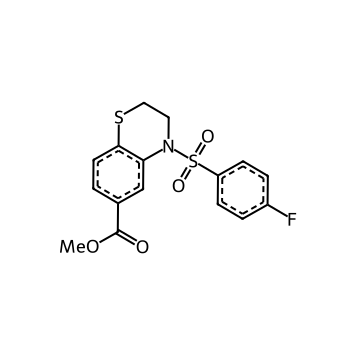 COC(=O)c1ccc2c(c1)N(S(=O)(=O)c1ccc(F)cc1)CCS2